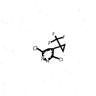 FC(F)(F)C1(c2cc(Cl)nnc2Cl)CC1